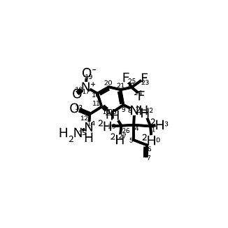 [2H]C([2H])([2H])C(CC=C)(Nc1nc(C(=O)NN)c([N+](=O)[O-])cc1C(F)(F)F)C([2H])([2H])[2H]